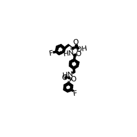 O=C(N[C@@H](Cc1ccc(F)cc1)C(=O)O)c1ccc(CNS(=O)(=O)c2cccc(F)c2)cc1